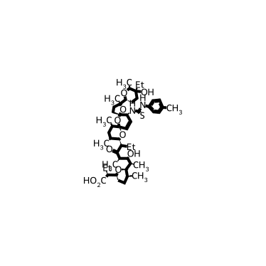 CCC(C(=O)[C@@H](C)[C@@H](O)[C@H](C)[C@@H]1O[C@@H]([C@@H](CC)C(=O)O)CC[C@@H]1C)[C@H]1O[C@]2(C=C[C@@H](NC(=S)Nc3ccc(C)cc3)[C@]3(CC[C@@](C)([C@H]4CC[C@](O)(CC)[C@H](C)O4)O3)O2)[C@H](C)C[C@@H]1C